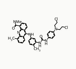 CNC(=O)c1cccc2c(Nc3ccc(C)c(NC(=O)Nc4ccc(N(CCCl)CCCl)cc4)c3)c3cccc(C)c3nc12